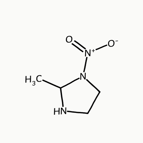 CC1NCCN1[N+](=O)[O-]